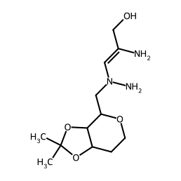 CC1(C)OC2CCOC(CN(N)/C=C(\N)CO)C2O1